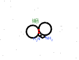 Cl.Cl.NCCC(N)(C1CCCCCCCCCCCCCC1)C1CCCCCCCCCCCCCC1